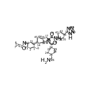 Cc1cc2oc(C3CC3)nc2cc1-c1ccc(C[C@H](NC(=O)[C@H]2CC[C@H](CN)CC2)C(=O)Nc2ccc(-c3nnn[nH]3)cc2)cc1